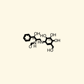 O=CNC(CNC1C=C(CO)C(O)[C@H](O)C1O)[C@H](O)c1ccccc1